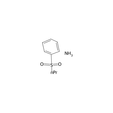 CCCS(=O)(=O)c1ccccc1.N